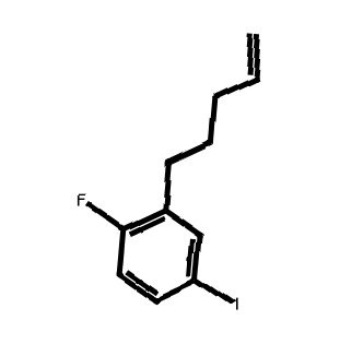 C=CCCCc1cc(I)ccc1F